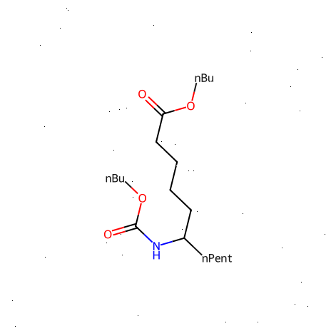 CCCCCC(CCCCC(=O)OCCCC)NC(=O)OCCCC